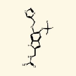 O=C(O)NCc1cc2cc(OC(F)(F)F)c(OCc3cocn3)cc2[nH]1